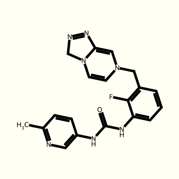 Cc1ccc(NC(=O)Nc2cccc(CN3C=CN4CN=NC4=C3)c2F)cn1